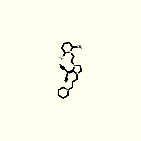 CC1CCCC(C)N1CCN1CCN(CCCN2CCCCC2)C1=C(C#N)C#N